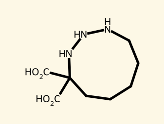 O=C(O)C1(C(=O)O)CCCCCNNN1